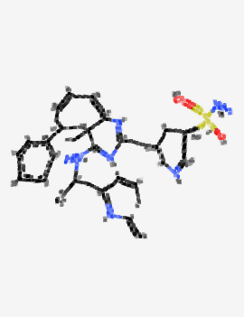 C=C/N=C(\C=C/C)C(NC1=NC(C2=CN=CC(S(N)(=O)=O)C2)=NC2=CC=CC(c3ccccc3)C21C)C(F)(F)F